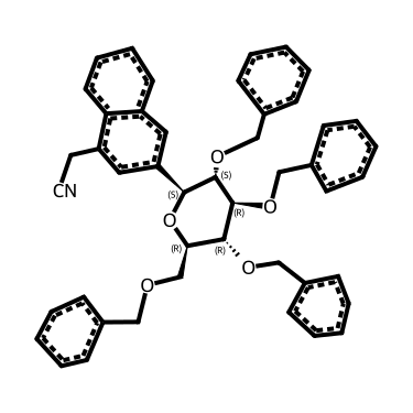 N#CCc1cc([C@@H]2O[C@H](COCc3ccccc3)[C@@H](OCc3ccccc3)[C@H](OCc3ccccc3)[C@H]2OCc2ccccc2)cc2ccccc12